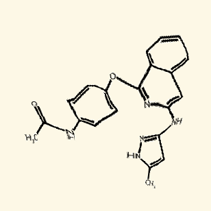 CC(=O)Nc1ccc(Oc2nc(Nc3cc(C)[nH]n3)cc3ccccc23)cc1